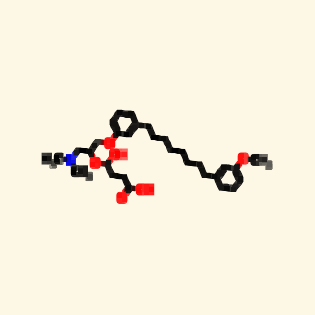 COc1cccc(CCCCCCCCc2cccc(OCC(CN(C)C)OC(O)CCC(=O)O)c2)c1